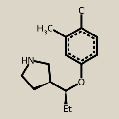 CC[C@H](Oc1ccc(Cl)c(C)c1)[C@H]1CCNC1